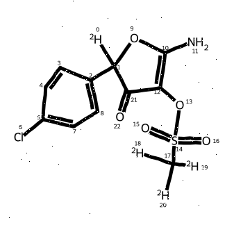 [2H]C1(c2ccc(Cl)cc2)OC(N)=C(OS(=O)(=O)C([2H])([2H])[2H])C1=O